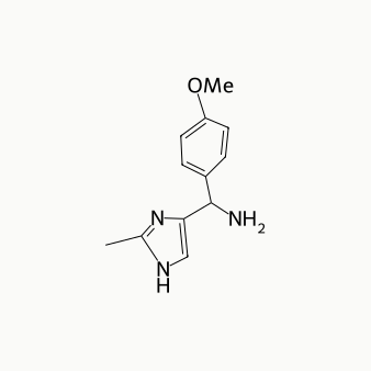 COc1ccc(C(N)c2c[nH]c(C)n2)cc1